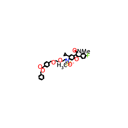 CNC(=O)c1c(-c2ccc(F)cc2)oc2cc(N(CCOCCOCc3ccc(C(=O)OCc4ccccc4)cc3)[S+](C)[O-])c(C3CC3)cc12